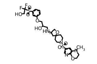 CN1CCOc2ncc(S(=O)(=O)N3CCC4(CC3)C[C@@H](NCC(O)COc3cccc(S(=O)(=O)C(F)(F)CO)c3)CO4)cc21